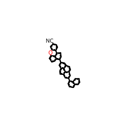 N#Cc1ccc2c(c1)Oc1cccc3c(-c4cc5ccc6cc(-c7cccc8ccccc78)cc7ccc(c4)c5c67)ccc-2c13